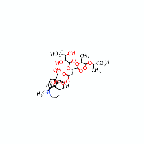 C[C@H](OC(=O)[C@H](C)OC(=O)[C@H](CC(=O)OC1=CC[C@@]2(O)[C@H]3Cc4ccc(CO)c5c4[C@@]2(CCCN3C)[C@H]1O5)OC(=O)[C@H](O)[C@@H](O)C(=O)O)C(=O)O